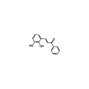 O=C(/C=C/c1cccc(O)c1O)c1ccccc1